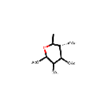 CC(=O)OC1OC(C)[C@H](OC(C)=O)C(OC(C)=O)C1OC(C)=O